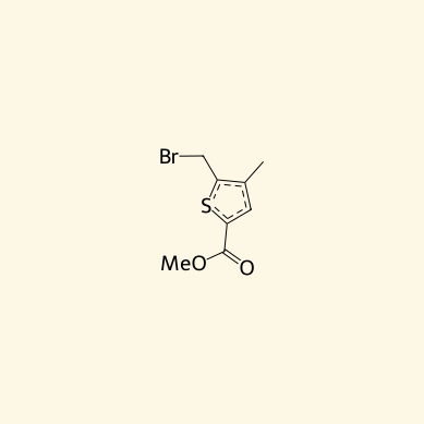 COC(=O)c1cc(C)c(CBr)s1